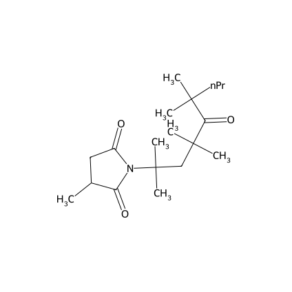 CCCC(C)(C)C(=O)C(C)(C)CC(C)(C)N1C(=O)CC(C)C1=O